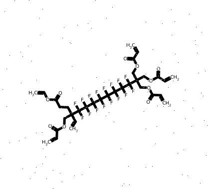 C=COC(=O)CCC(C=C)(COC(=O)C=C)C(F)(F)C(F)(F)C(F)(F)C(F)(F)C(F)(F)C(F)(F)C(F)(F)C(F)(F)C(COC(=O)C=C)(COC(=O)C=C)COC(=O)C=C